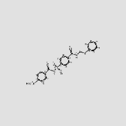 CCOC(=O)c1ccc(C(=O)NS(=O)(=O)c2ccc(C(=O)NCCc3ccccc3)cc2)cn1